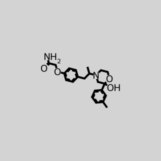 Cc1cccc(C2(O)CN(C(C)Cc3ccc(OCC(N)=O)cc3)CCO2)c1